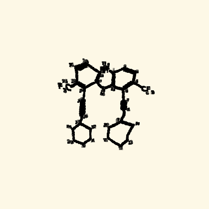 CCCc1ccc(C(F)(F)F)c(C#CC2CCCCC2)c1Sc1c(CCC)ccc(C(F)(F)F)c1C#CC1CCCCC1